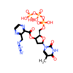 Cc1cn([C@H]2CC(OC(=O)c3nccnc3CN=[N+]=[N-])[C@@H](COP(=O)(O)OP(=O)(O)OP(=O)(O)O)O2)c(=O)[nH]c1=O